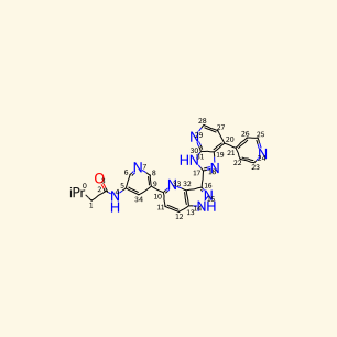 CC(C)CC(=O)Nc1cncc(-c2ccc3[nH]nc(-c4nc5c(-c6ccncc6)ccnc5[nH]4)c3n2)c1